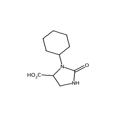 O=C(O)C1CNC(=O)N1C1CCCCC1